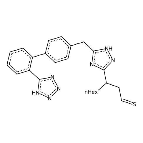 CCCCCCC(CC=S)c1n[nH]c(Cc2ccc(-c3ccccc3-c3nnn[nH]3)cc2)n1